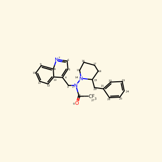 O=C(N(Cc1ccnc2ccccc12)N1CCCCC1Cc1ccccc1)C(F)(F)F